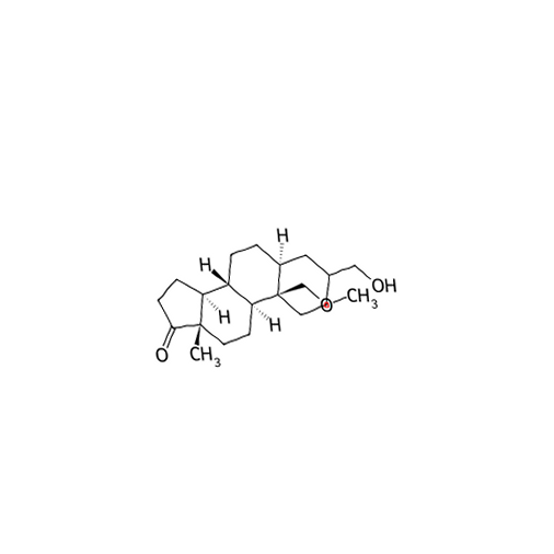 COC[C@]12CCC(CO)C[C@@H]1CC[C@@H]1[C@@H]2CC[C@]2(C)C(=O)CC[C@@H]12